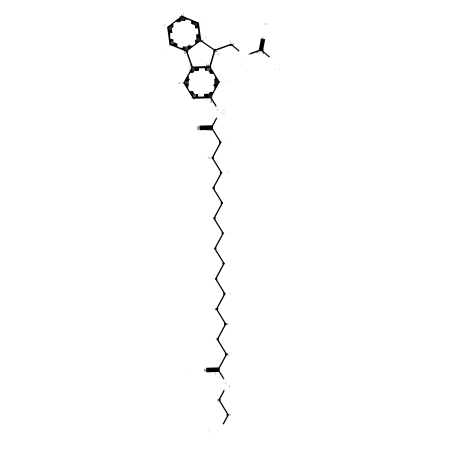 CCCNC(=O)CCCCCCCCCCCCCCCC(=O)Nc1ccc2c(c1)C(COC(C)=O)c1ccccc1-2